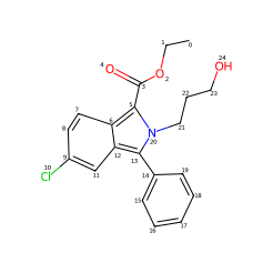 CCOC(=O)c1c2ccc(Cl)cc2c(-c2ccccc2)n1CCCO